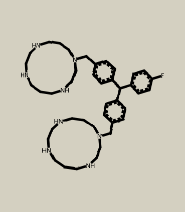 Fc1ccc(C(c2ccc(CN3CCCNCCNCCCNCC3)cc2)c2ccc(CN3CCCNCCNCCCNCC3)cc2)cc1